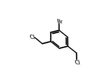 ClCc1cc(Br)cc(CCl)c1